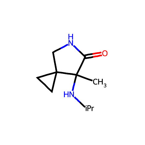 CC(C)NC1(C)C(=O)NCC12CC2